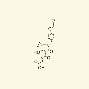 O=C(O)CNC(=O)C1=C(O)C2(CC2)CN(Cc2ccc(OCC3CC3)cc2)C1=O